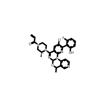 C=CC(=O)N1CCN(C2=NC3OC(C)c4cnccc4N3c3nc(-c4c(O)cccc4F)c(Cl)cc32)[C@@H](C)C1